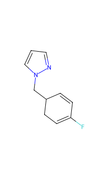 FC1=CCC(Cn2cccn2)C=C1